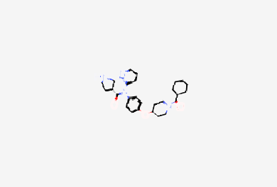 O=C(C1CCCCC1)N1CCC(Oc2ccc(N(C(=O)[C@H]3CCNC3)c3cccnn3)cc2)CC1